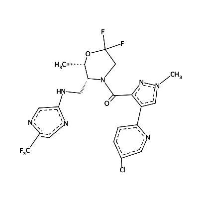 C[C@@H]1OC(F)(F)CN(C(=O)c2nn(C)cc2-c2ccc(Cl)cn2)[C@@H]1CNc1cnc(C(F)(F)F)cn1